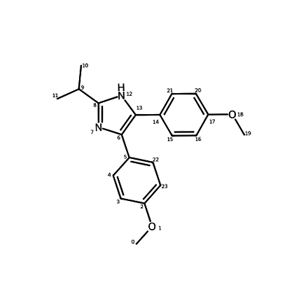 COc1ccc(-c2nc(C(C)C)[nH]c2-c2ccc(OC)cc2)cc1